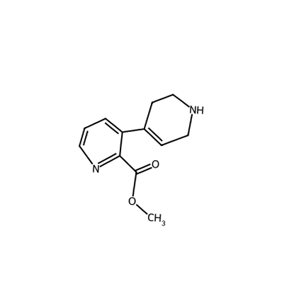 COC(=O)c1ncccc1C1=CCNCC1